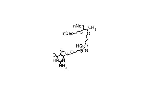 CCCCCCCCCCCCSC(CCCCCCCCC)C(C)OCCCOP(=O)(O)OCCOCn1cnc2c(=O)[nH]c(N)nc21